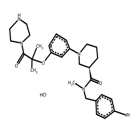 CC(C)c1ccc(CN(C)C(=O)[C@@H]2CCCN(c3cccc(OC(C)(C)C(=O)N4CCNCC4)c3)C2)cc1.Cl